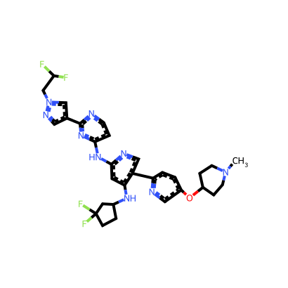 CN1CCC(Oc2ccc(-c3cnc(Nc4ccnc(-c5cnn(CC(F)F)c5)n4)cc3NC3CCC(F)(F)C3)nc2)CC1